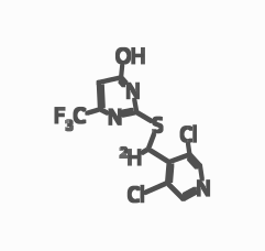 [2H]C(Sc1nc(O)cc(C(F)(F)F)n1)c1c(Cl)cncc1Cl